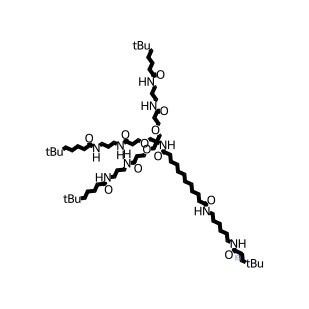 CC(C)(C)/C=C/C(=O)NCCCCCCNC(=O)CCCCCCCCCCC(=O)NC(COCCC(=O)NCCCNC(=O)CCCCC(C)(C)C)(COCCC(=O)NCCCNC(=O)CCCCC(C)(C)C)COCCC(=O)NCCCNC(=O)CCCCC(C)(C)C